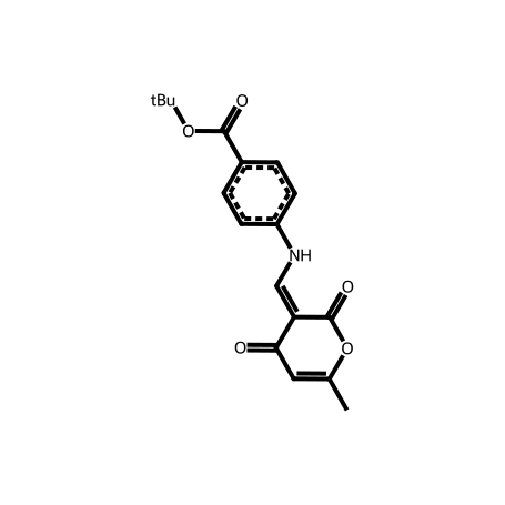 CC1=CC(=O)C(=CNc2ccc(C(=O)OC(C)(C)C)cc2)C(=O)O1